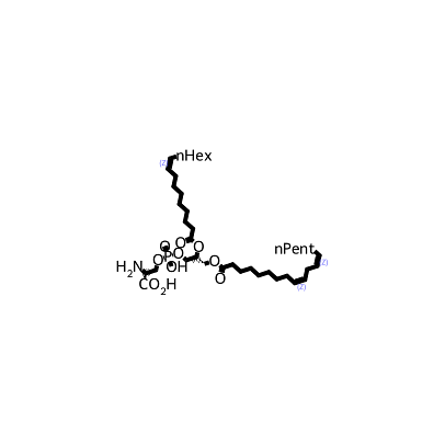 CCCCC/C=C\C/C=C\CCCCCCCC(=O)OC[C@H](COP(=O)(O)OC[C@H](N)C(=O)O)OC(=O)CCCCCCC/C=C\CCCCCC